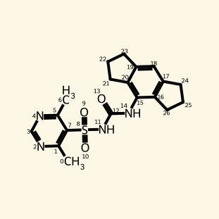 Cc1ncnc(C)c1S(=O)(=O)NC(=O)Nc1c2c(cc3c1CCC3)CCC2